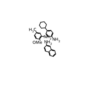 COc1ccc(C)cc1N.Nc1ccc(C2CCCCC2)cc1.Nc1ccc2ccccc2c1